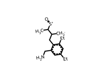 [CH2]C(Cc1c(CC)cc(CC)cc1CN)C(C)[S+]=O